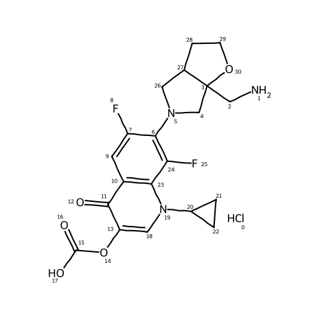 Cl.NCC12CN(c3c(F)cc4c(=O)c(OC(=O)O)cn(C5CC5)c4c3F)CC1CCO2